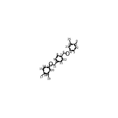 Cc1ccc(OCc2ccc(COc3ccc(C)c(C)c3)cc2)cc1C